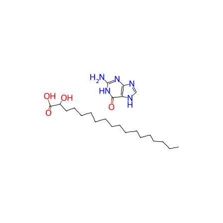 CCCCCCCCCCCCCCCCC(O)C(=O)O.Nc1nc2nc[nH]c2c(=O)[nH]1